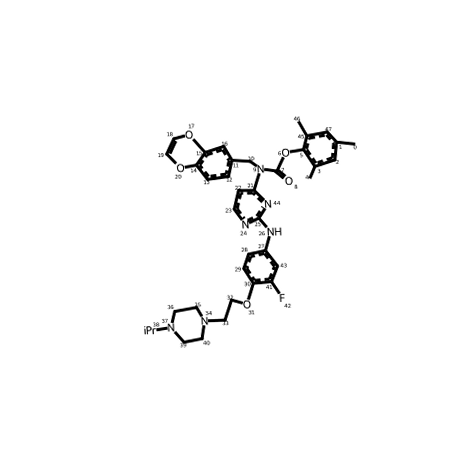 Cc1cc(C)c(OC(=O)N(Cc2ccc3c(c2)OC=CO3)c2ccnc(Nc3ccc(OCCN4CCN(C(C)C)CC4)c(F)c3)n2)c(C)c1